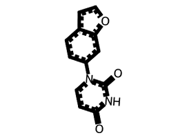 O=c1ccn(-c2ccc3ccoc3c2)c(=O)[nH]1